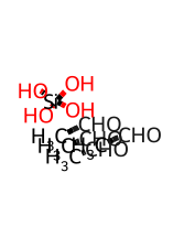 CC=O.CC=O.CC=O.CC=O.O[Si](O)(O)O